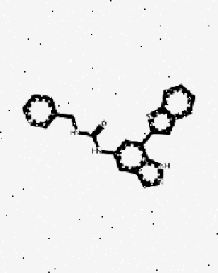 O=C(NCc1cccnc1)Nc1cc(-c2cc3ccccc3s2)c2[nH]ncc2c1